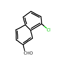 O=Cc1ccc2cccc(Cl)c2c1